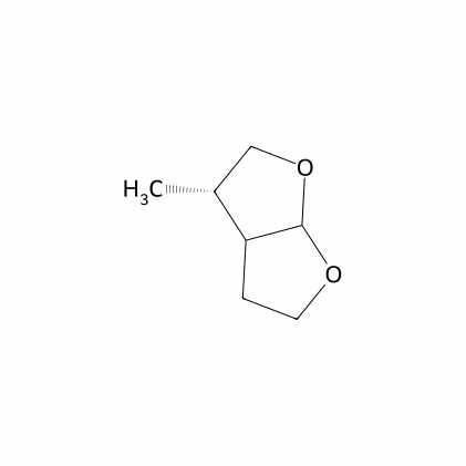 C[C@@H]1COC2OCCC21